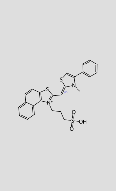 CN1C(c2ccccc2)=CS/C1=C\c1sc2ccc3ccccc3c2[n+]1CCCS(=O)(=O)O